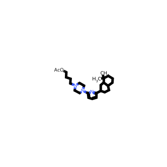 CC(=O)OCCCCN1CCN(c2cccc(C3CCC4CCCC(C)(C)C4C3)n2)CC1